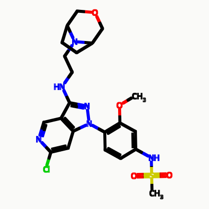 COc1cc(NS(C)(=O)=O)ccc1-n1nc(NCCN2C3CCC2COC3)c2cnc(Cl)cc21